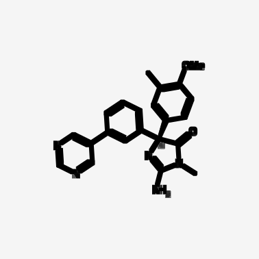 COc1ccc([C@]2(c3cccc(-c4cncnc4)c3)N=C(N)N(C)C2=O)cc1C